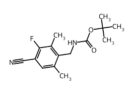 Cc1cc(C#N)c(F)c(C)c1CNC(=O)OC(C)(C)C